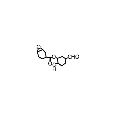 O=CC1CCC(O)C(OC(=O)C2CCC3OC3C2)C1